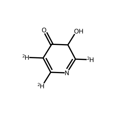 [2H]C1=NC([2H])=C([2H])C(=O)C1O